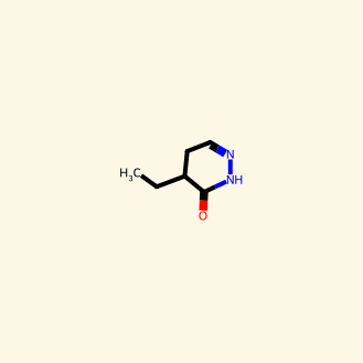 CCC1CC=NNC1=O